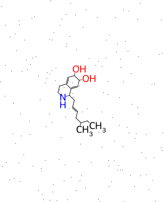 CCC(C)C/C=C/CC1NCCC2=CC(O)C(O)C=C21